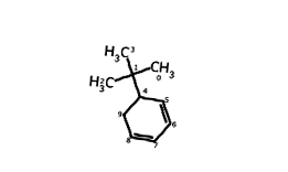 CC(C)(C)C1C=CC=CC1